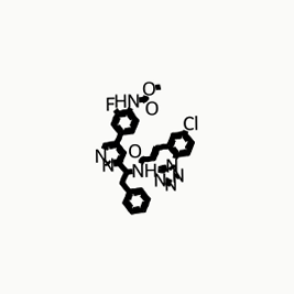 COC(=O)Nc1ccc(-c2cnnc(C(Cc3ccccc3)NC(=O)C=Cc3cc(Cl)ccc3-n3cnnn3)c2)cc1F